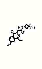 CCc1ccc2c(=O)n(CC(=O)N[C@H]3C[C@@](C)(O)C3)nc(CC)c2c1